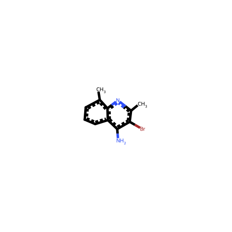 Cc1nc2c(C)cccc2c(N)c1Br